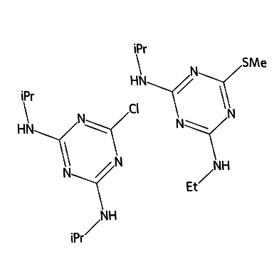 CC(C)Nc1nc(Cl)nc(NC(C)C)n1.CCNc1nc(NC(C)C)nc(SC)n1